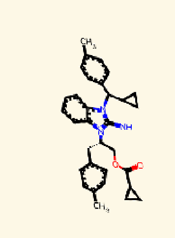 Cc1ccc(C[C@@H](COC(=O)C2CC2)n2c(=N)n(C(c3ccc(C)cc3)C3CC3)c3ccccc32)cc1